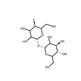 OCC1O[C@H](O[C@H]2OC(CO)[C@@H](O)[C@H](O)C2O)C(O)C(O)[C@H]1F